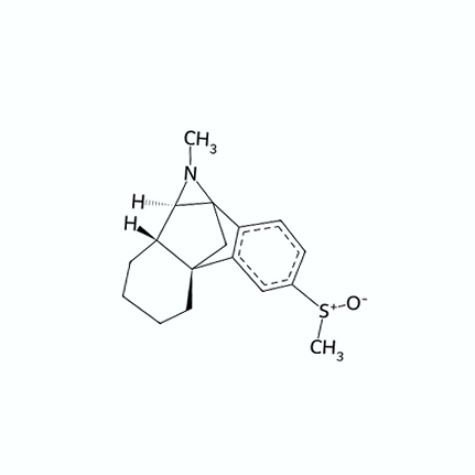 CN1[C@@H]2[C@H]3CCCC[C@]34CC21c1ccc([S+](C)[O-])cc14